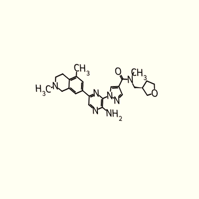 Cc1cc(-c2cnc(N)c(-n3cc(C(=O)N(C)C[C@H]4CCOC4)cn3)n2)cc2c1CCN(C)C2